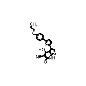 C=CCOc1ccc(-c2ccc(-c3csc4[nH]c(=O)c(C#N)c(O)c34)s2)cc1